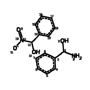 NC(O)c1ccccc1.O=[N+]([O-])C(O)c1ccccc1